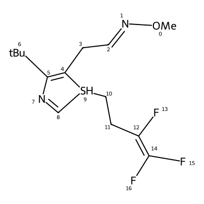 CO/N=C/CC1=C(C(C)(C)C)N=C[SH]1CCC(F)=C(F)F